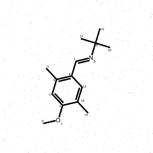 COc1cc(C)c(/C=N/C(C)(C)C)cc1C